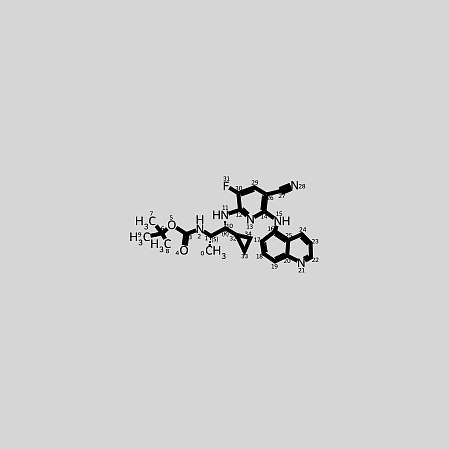 C[C@H](NC(=O)OC(C)(C)C)[C@H](Nc1nc(Nc2cccc3ncccc23)c(C#N)cc1F)C1CC1